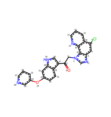 O=C(Cn1cnc2cc(Cl)c3cccnc3c21)c1c[nH]c2cc(Oc3cccnc3)ccc12